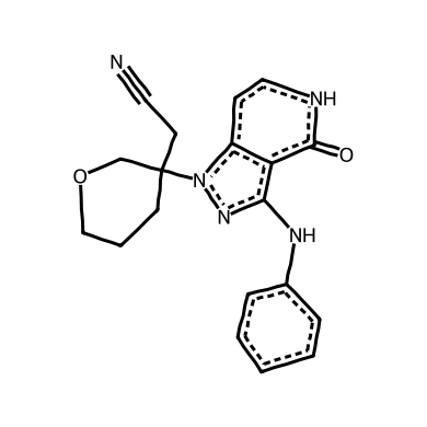 N#CCC1(n2nc(Nc3ccccc3)c3c(=O)[nH]ccc32)CCCOC1